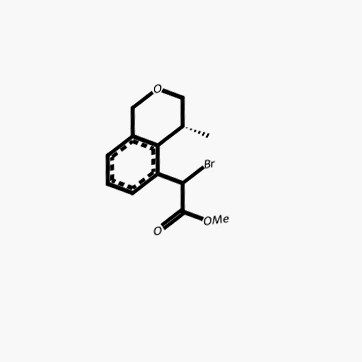 COC(=O)C(Br)c1cccc2c1[C@@H](C)COC2